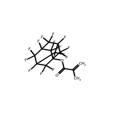 C=C(C)C(=O)OC12C(F)(F)C3(F)C(F)(F)C(F)(C(F)(F)C(F)(C3(F)F)C1(F)F)C2(F)F